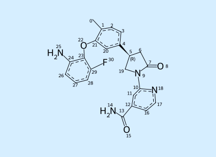 Cc1ccc([C@H]2CC(=O)N(c3cc(C(N)=O)ccn3)C2)cc1Oc1c(N)cccc1F